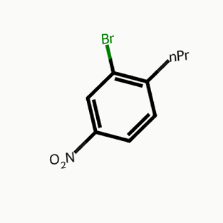 CCCc1ccc([N+](=O)[O-])cc1Br